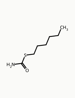 CCCCCCSC(N)=O